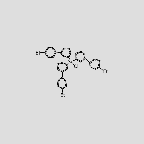 CCc1ccc(-c2cccc([Si](Cl)(c3cccc(-c4ccc(CC)cc4)c3)c3cccc(-c4ccc(CC)cc4)c3)c2)cc1